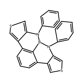 c1ccc(N2B3c4c(cccc4-c4cscc4N3c3ccccc3)-c3cscc32)cc1